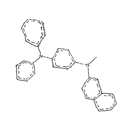 CN(c1ccc(N(c2ccccc2)c2ccccc2)cc1)c1ccc2ccccc2c1